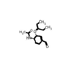 CCC(CC)O[C@@H]1C=C(C=O)CC[C@H]1NC(C)=O